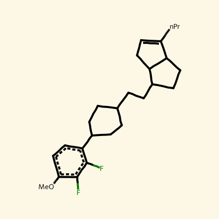 CCCC1=CCC2C(CCC3CCC(c4ccc(OC)c(F)c4F)CC3)CCC12